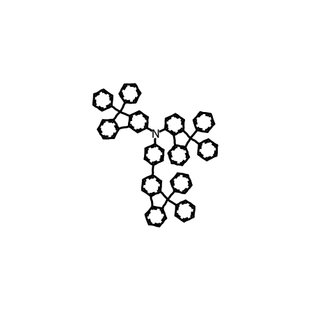 c1ccc(C2(c3ccccc3)c3ccccc3-c3cc(N(c4ccc(-c5ccc6c(c5)C(c5ccccc5)(c5ccccc5)c5ccccc5-6)cc4)c4cccc5c4-c4ccccc4C5(c4ccccc4)c4ccccc4)ccc32)cc1